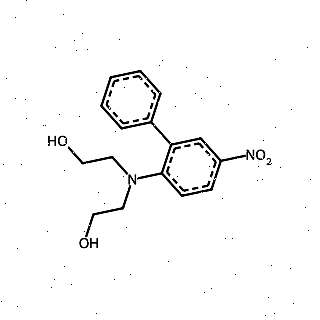 O=[N+]([O-])c1ccc(N(CCO)CCO)c(-c2ccccc2)c1